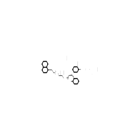 Cl.O=C(O)c1cc([C@H]2C[C@@H](CCCNCCc3cccc4ccccc34)Oc3ccccc32)ccc1F